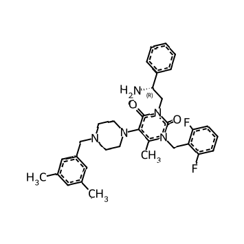 Cc1cc(C)cc(CN2CCN(c3c(C)n(Cc4c(F)cccc4F)c(=O)n(C[C@H](N)c4ccccc4)c3=O)CC2)c1